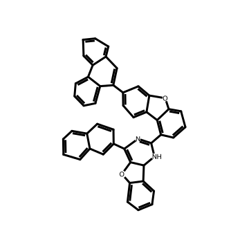 c1ccc2c(c1)OC1=C(c3ccc4ccccc4c3)N=C(c3cccc4oc5cc(-c6cc7ccccc7c7ccccc67)ccc5c34)NC12